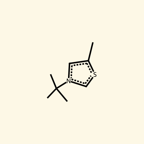 Cc1c[n+](C(C)(C)C)cs1